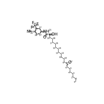 CCCCCCC[S+]([O-])CCCCCCCCCCC[C@](C)(O)C(=O)Nc1ccc(C#N)c(C(F)(F)F)c1